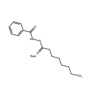 CCCCCCCC(=O)ONC(=O)c1ccccc1.[NaH]